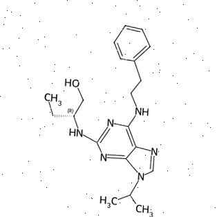 CC[C@H](CO)Nc1nc(NCCc2ccccc2)c2ncn(C(C)C)c2n1